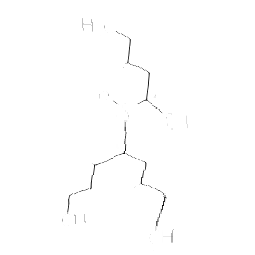 CCCCC(C)[S+]([O-])C(CCCC)CCCC